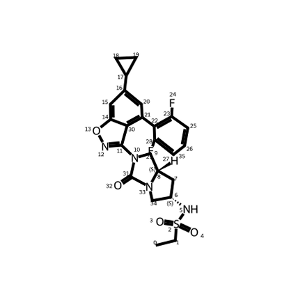 CCS(=O)(=O)N[C@H]1C[C@H]2CN(c3noc4cc(C5CC5)cc(-c5c(F)cccc5F)c34)C(=O)N2C1